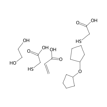 C1CCC(OC2CCCC2)C1.C=CC(=O)O.O=C(O)CS.O=C(O)CS.OCCO